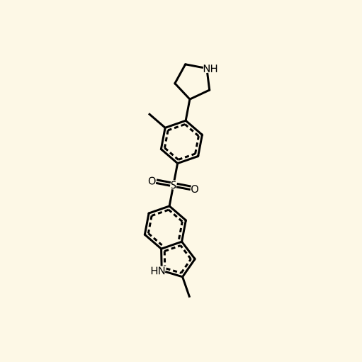 Cc1cc2cc(S(=O)(=O)c3ccc(C4CCNC4)c(C)c3)ccc2[nH]1